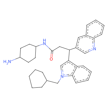 NC1CCC(NC(=O)CC(c2cnc3ccccc3c2)c2cn(CC3CCCCC3)c3ccccc23)CC1